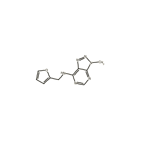 Cn1nnc2c(NCc3ccco3)ncnc21